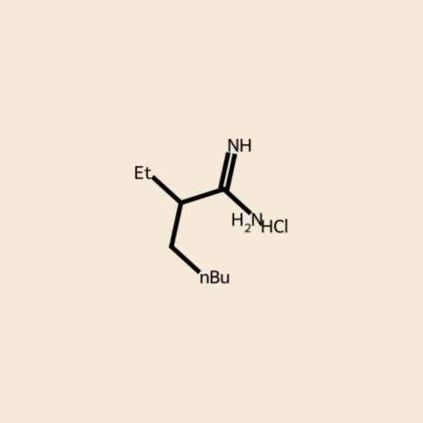 CCCCCC(CC)C(=N)N.Cl